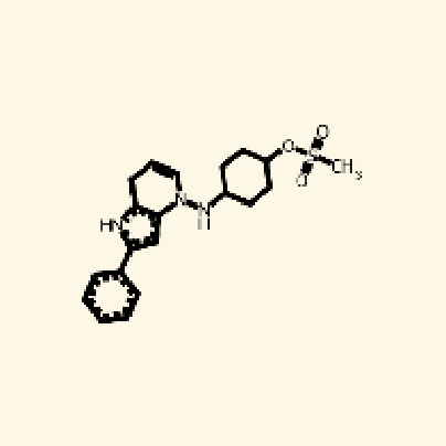 CS(=O)(=O)OC1CCC(NN2C=CCc3[nH]c(-c4ccccc4)cc32)CC1